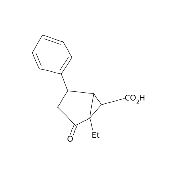 CCC12C(=O)CC(c3ccccc3)C1C2C(=O)O